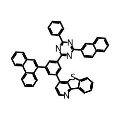 c1ccc(-c2nc(-c3cc(-c4cc5ccccc5c5ccccc45)cc(-c4ccnc5c4sc4ccccc45)c3)nc(-c3ccc4ccccc4c3)n2)cc1